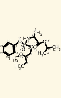 CCC(COP(=O)(NC(C)C(=O)OC(C)C)Oc1ccccc1)OC